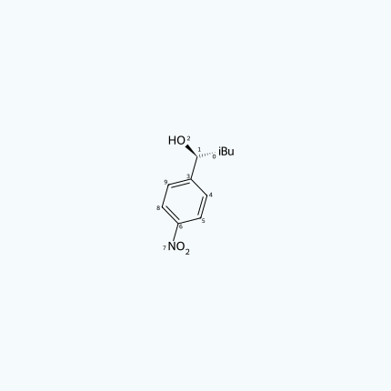 CC[C@@H](C)[C@H](O)c1ccc([N+](=O)[O-])cc1